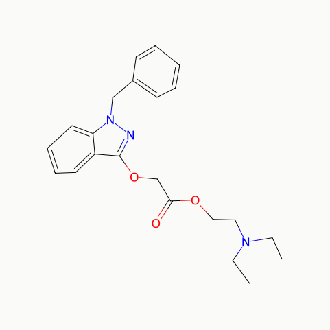 CCN(CC)CCOC(=O)COc1nn(Cc2ccccc2)c2ccccc12